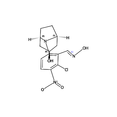 O=[N+]([O-])c1ccc(N2[C@@H]3CC[C@H]2C[C@@H](O)C3)c(/C=N/O)c1Cl